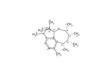 Cc1ncc(C(C)C)c2c1[C@@H](C)[C@@H](C)[C@@H](C)[C@@H](C)CC2C(C)C